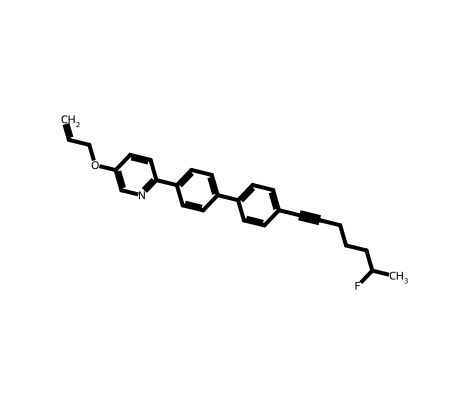 C=CCOc1ccc(-c2ccc(-c3ccc(C#CCCCC(C)F)cc3)cc2)nc1